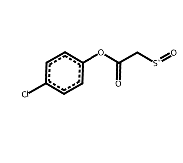 O=[S+]CC(=O)Oc1ccc(Cl)cc1